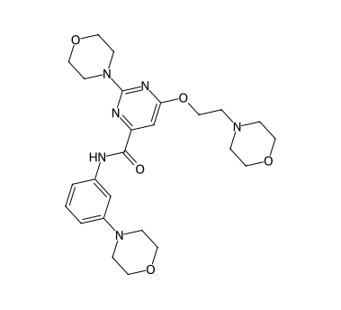 O=C(Nc1cccc(N2CCOCC2)c1)c1cc(OCCN2CCOCC2)nc(N2CCOCC2)n1